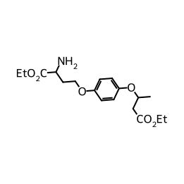 CCOC(=O)CC(C)Oc1ccc(OCCC(N)C(=O)OCC)cc1